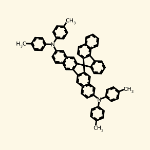 Cc1ccc(N(c2ccc(C)cc2)c2ccc3cc4c(cc3c2)C2(c3cc5cc(N(c6ccc(C)cc6)c6ccc(C)cc6)ccc5cc3-4)c3ccccc3-c3c2ccc2ccccc32)cc1